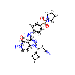 N#CC[C@@H](C1CCC1)n1nc(Nc2ccc(S(=O)(=O)N3CCCC3)cc2)c2c(=O)[nH]ccc21